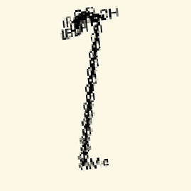 COCCOCCOCCOCCOCCOCCOCCOCCOCCOCCOCCOCCOCCOCCOCCOCCOCCc1cc(NC(=O)[C@H](C)NC(=O)[C@@H](NC(=O)OC(C)(C)C)C(C)C)ccc1CO